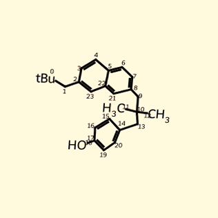 CC(C)(C)Cc1ccc2ccc(CC(C)(C)Cc3ccc(O)cc3)cc2c1